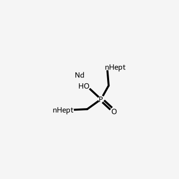 CCCCCCCCP(=O)(O)CCCCCCCC.[Nd]